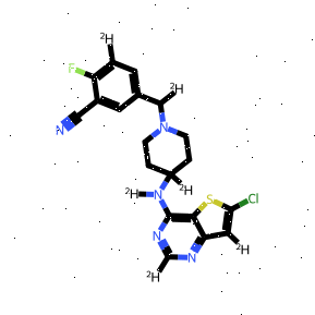 [2H]c1nc(N([2H])C2([2H])CCN(C([2H])c3cc([2H])c(F)c(C#N)c3)CC2)c2sc(Cl)c([2H])c2n1